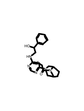 CCC(=O)N1C2CCC1CN(c1cc(NCC(O)c3ccccc3)ncn1)C2